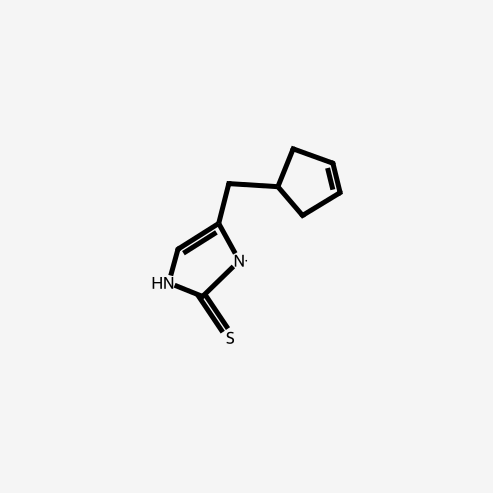 S=C1[N]C(CC2CC=CC2)=CN1